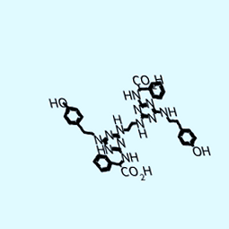 O=C(O)[C@H](Nc1nc(NCCNc2nc(NCCc3ccc(O)cc3)nc(N[C@@H](C(=O)O)c3ccccc3)n2)nc(NCCc2ccc(O)cc2)n1)c1ccccc1